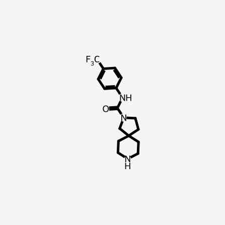 O=C(Nc1ccc(C(F)(F)F)cc1)N1CCC2(CCNCC2)C1